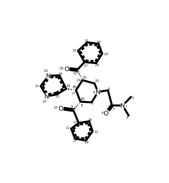 CN(C)C(=O)CN1C[C@H](C(=O)c2ccccc2)[C@H](c2cncnc2)[C@H](C(=O)c2ccccc2)C1